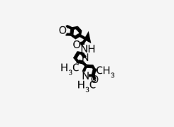 COc1ncc(-c2nc(NC(=O)C3(c4ccc5c(c4)COC5)CC3)ccc2C)cc1C